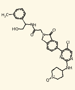 Cc1cccc(C(CO)NC(=O)CN2Cc3ccc(-c4nc(NC5CC[S+]([O-])CC5)ncc4Cl)cc3C2=O)c1